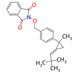 CC(C)(C)/C=C1\CC1(C)c1ccc(CON2C(=O)c3ccccc3C2=O)cc1